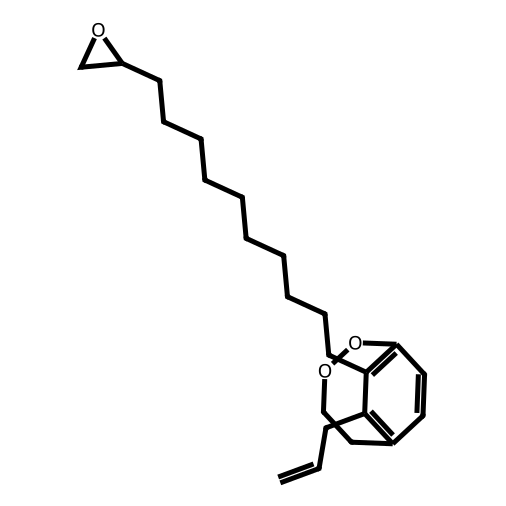 C=CCc1c2ccc(c1CCCCCCCCCCC1CO1)OOCC2